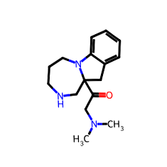 CN(C)CC(=O)C12CNCCCN1c1ccccc1C2